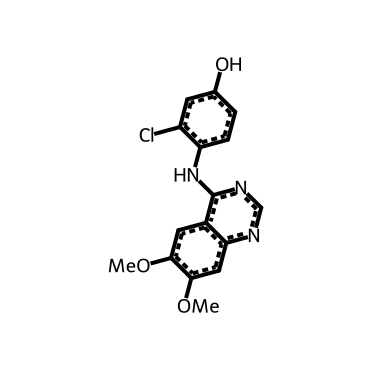 COc1cc2ncnc(Nc3ccc(O)cc3Cl)c2cc1OC